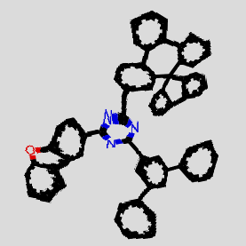 c1ccc(-c2cc(-c3ccccc3)cc(-c3nc(-c4ccc5c(c4)C4(c6ccccc6-c6ccccc6-5)c5ccccc5-c5ccccc54)nc(-c4ccc5oc6ccccc6c5c4)n3)c2)cc1